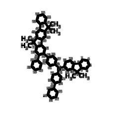 CC1(C)c2ccccc2-c2ccc(N(c3ccc(-c4ccccc4)cc3)c3ccc(-c4cc5c(cc4-c4ccccc4)C(C)(C)c4cc6c(cc4-5)C(C)(C)c4ccccc4-6)cc3)cc21